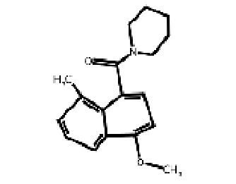 COc1ccc(C(=O)N2CCCCC2)c2c(C)cccc12